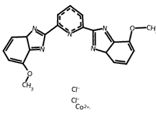 COC1=CC=CC2N=C(c3cccc(C4=NC5C=CC=C(OC)C5=N4)n3)N=C12.[Cl-].[Cl-].[Co+2]